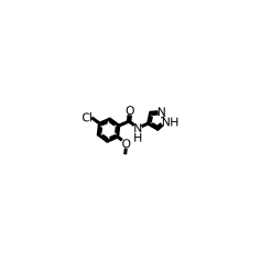 COc1ccc(Cl)cc1C(=O)Nc1cn[nH]c1